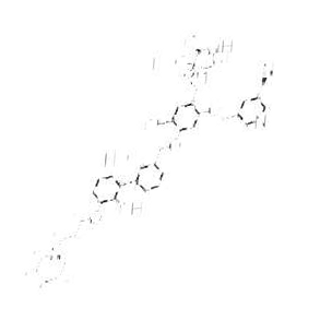 Cc1c(COc2cc(OCc3cncc(C#N)c3)c(CN[C@@](C)(CO)C(=O)O)cc2Cl)cccc1-c1cccc(OCCCN2CCCCC2)c1C